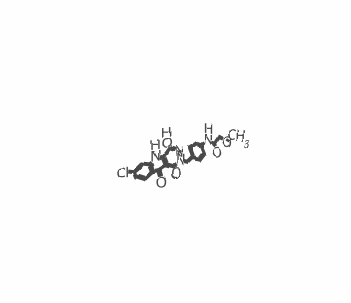 COCC(=O)Nc1ccc(Cn2nc(O)c3[nH]c4cc(Cl)ccc4c(=O)c3c2=O)cc1